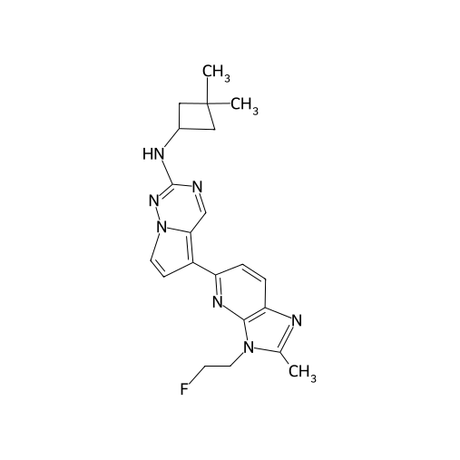 Cc1nc2ccc(-c3ccn4nc(NC5CC(C)(C)C5)ncc34)nc2n1CCF